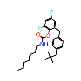 CCCCCCCNC(=O)Oc1c(F)cc(F)cc1Cc1ccc(CC(C)(C)C)cc1